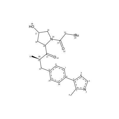 Cc1ncsc1-c1ccc(C[C@@H](C)C(=O)C2CC(O)CN2C(=O)CC(C)(C)C)cc1